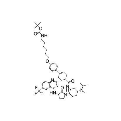 CC(C)N(C)[C@@H]1CC[C@H](N2CC[C@H](Nc3ncnc4ccc(C(F)(F)F)cc34)C2=O)[C@H](NC(=O)C2CC=C(c3ccc(OCCCCCCNC(=O)OC(C)(C)C)cc3)CC2)C1